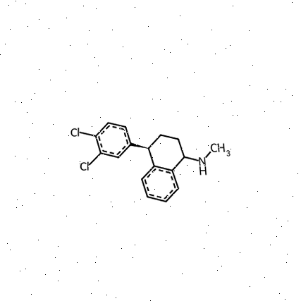 CNC1CC[C@H](c2ccc(Cl)c(Cl)c2)c2ccccc21